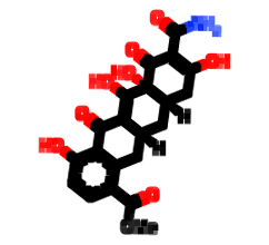 COC(=O)c1ccc(O)c2c1C[C@H]1C[C@H]3CC(O)=C(C(N)=O)C(=O)[C@@]3(O)C(O)=C1C2=O